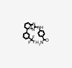 NC(=O)c1ccc(Nc2nc3cccc(-c4cccc(C(F)(F)F)c4)n3n2)cc1